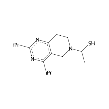 CC(C)c1nc2c(c(C(C)C)n1)CN(C(C)S)CC2